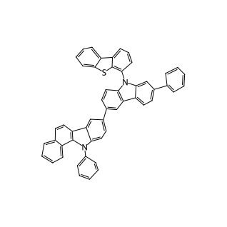 c1ccc(-c2ccc3c4cc(-c5ccc6c(c5)c5ccc7ccccc7c5n6-c5ccccc5)ccc4n(-c4cccc5c4sc4ccccc45)c3c2)cc1